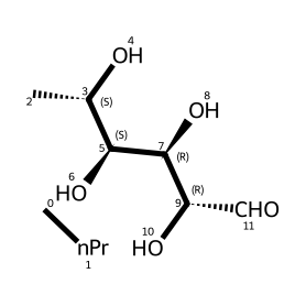 CCCC.C[C@H](O)[C@H](O)[C@@H](O)[C@@H](O)C=O